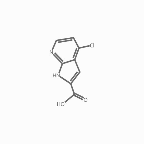 O=C(O)c1cc2c(Cl)ccnc2[nH]1